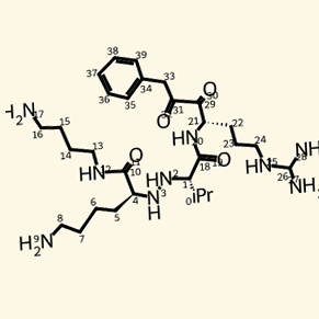 CC(C)[C@H](NN[C@@H](CCCCN)C(=O)NCCCCN)C(=O)N[C@@H](CCCNC(N)N)C(=O)C(=O)Cc1ccccc1